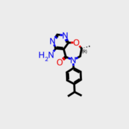 CC(C)c1ccc(N2C[C@@H](C)Oc3ncnc(N)c3C2=O)cc1